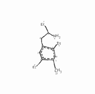 CCc1cc(CC(N)CC)c(CC)cc1C